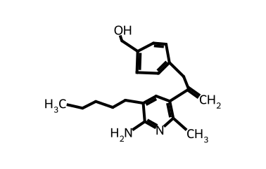 C=C(Cc1ccc(CO)cc1)c1cc(CCCCC)c(N)nc1C